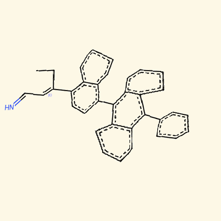 CC/C(=C\C=N)c1ccc(-c2c3ccccc3c(-c3ccccc3)c3ccccc23)c2ccccc12